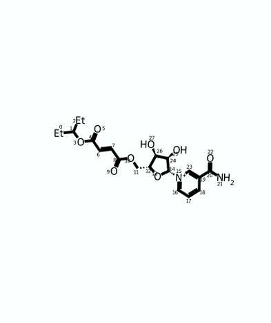 CCC(CC)OC(=O)/C=C/C(=O)OC[C@H]1O[C@@H]([n+]2cccc(C(N)=O)c2)[C@H](O)[C@@H]1O